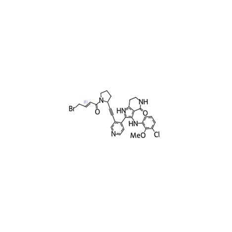 COc1c(Cl)cccc1Nc1c(-c2ccncc2C#CC2CCCN2C(=O)/C=C/CBr)[nH]c2c1C(=O)NCC2